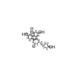 O=C1C=C(/C=C/c2ccc(O)cc2)C[C@@H](c2cc(O)cc(O)c2)[C@H](c2ccc(O)cc2)C1